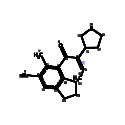 C/C=C(\C(=O)c1c(C)c(CCCC)cc2c1CCC2)C1CCSC1